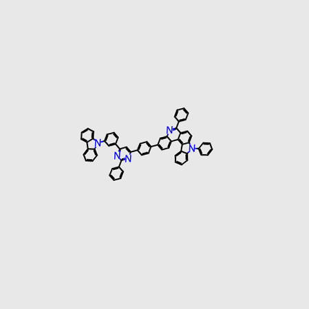 c1ccc(-c2nc(-c3ccc(-c4ccc5c(c4)nc(-c4ccccc4)c4ccc6c(c7ccccc7n6-c6ccccc6)c45)cc3)cc(-c3cccc(-n4c5ccccc5c5ccccc54)c3)n2)cc1